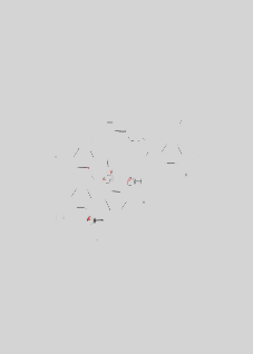 CC(C)=CC(OC(=O)c1cc(O)c(O)c2c1C(C(CC(=O)O)C(=O)O)C(O)C(=O)O2)C(OC(=O)c1cc(O)c(O)c(O)c1)OC(C)COC(=O)c1cc(O)c(O)c(O)c1-c1c(C(=O)CO)cc(O)c(O)c1O